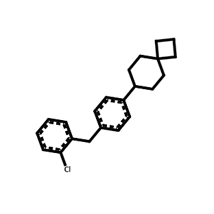 Clc1ccccc1Cc1ccc(C2CCC3(CCC3)CC2)cc1